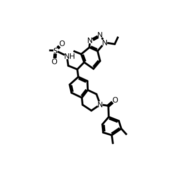 CCn1nnc2c(C)c(C(CNS(C)(=O)=O)c3ccc4c(c3)CN(C(=O)c3ccc(C)c(C)c3)CC4)ccc21